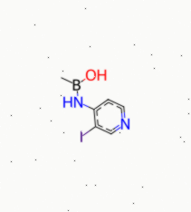 CB(O)Nc1ccncc1I